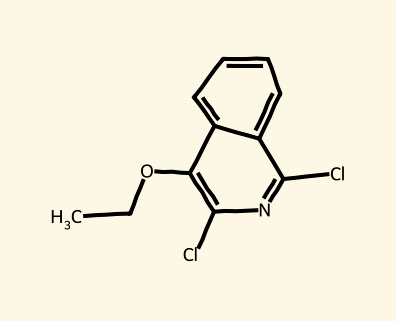 CCOc1c(Cl)nc(Cl)c2ccccc12